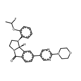 CC(F)Oc1ccccc1[C@@H]1CCN2C(=O)c3ccc(-c4cnc(N5CCOCC5)nc4)cc3[C@@H]12